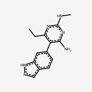 CCc1nc(NC)nc(N)c1-c1ccc2cn[nH]c2c1